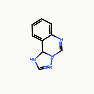 C1=Nc2ccccc2C2NC=NN12